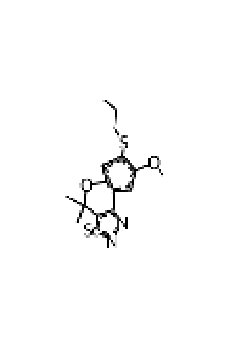 CCCSc1cc2c(cc1OC)-c1nn[se]c1C(C)(C)O2